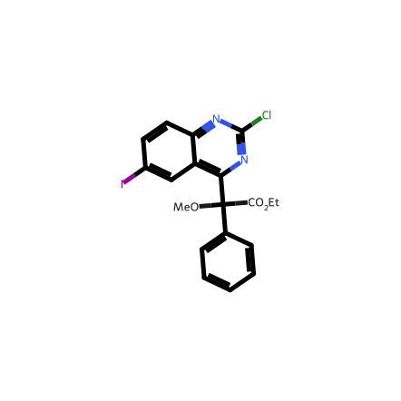 CCOC(=O)C(OC)(c1ccccc1)c1nc(Cl)nc2ccc(I)cc12